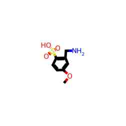 COc1ccc(S(=O)(=O)O)c(CN)c1